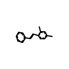 Cc1ccc(C=Cc2ccccc2)c(C)c1